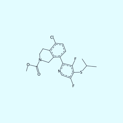 COC(=O)N1CCc2c(Cl)ccc(-c3ncc(F)c(SC(C)C)c3F)c2C1